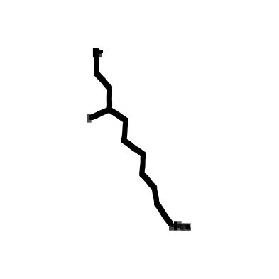 CCCCCCCCCCCCC(I)CCBr